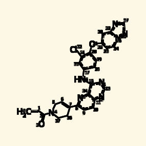 C=CC(=O)N1CC=C(c2ccc3ncnc(Nc4ccc(Oc5ccn6ncnc6c5)c(Cl)c4)c3n2)CC1